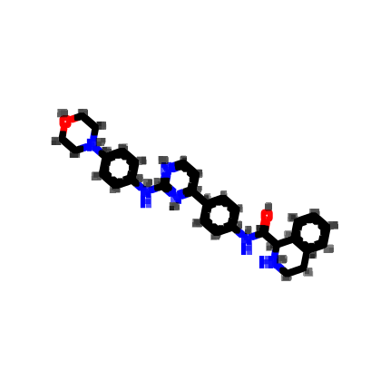 O=C(Nc1ccc(-c2ccnc(Nc3ccc(N4CCOCC4)cc3)n2)cc1)C1NCCc2ccccc21